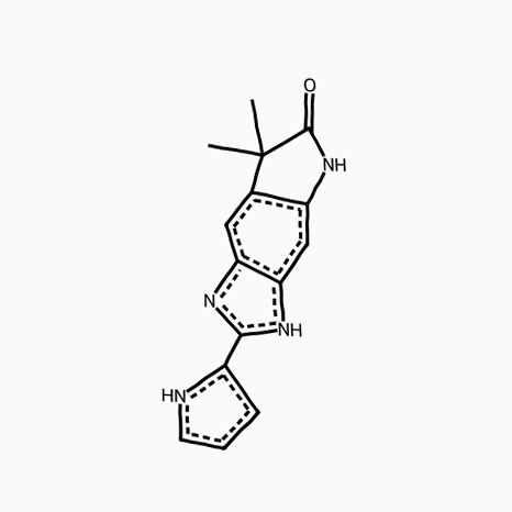 CC1(C)C(=O)Nc2cc3[nH]c(-c4ccc[nH]4)nc3cc21